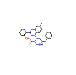 Cc1ccc2c(N3CC(Cc4ccccc4)NCC3C(C)C)nc(-c3ccccc3O)nc2c1